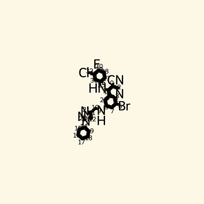 N#Cc1cnc2c(Br)cc(NCc3cn(-c4ccccc4)nn3)cc2c1Nc1ccc(F)c(Cl)c1